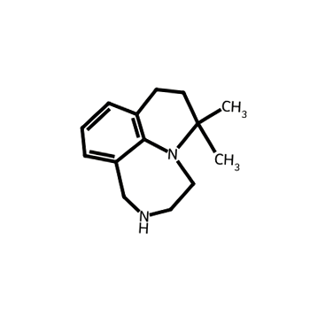 CC1(C)CCc2cccc3c2N1CCNC3